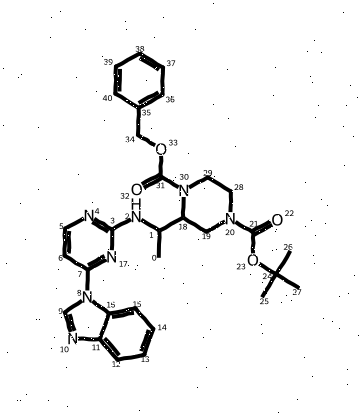 CC(Nc1nccc(-n2cnc3ccccc32)n1)C1CN(C(=O)OC(C)(C)C)CCN1C(=O)OCc1ccccc1